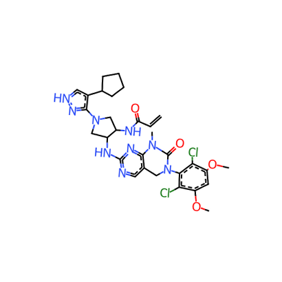 C=CC(=O)NC1CN(c2n[nH]cc2C2CCCC2)CC1Nc1ncc2c(n1)N(C)C(=O)N(c1c(Cl)c(OC)cc(OC)c1Cl)C2